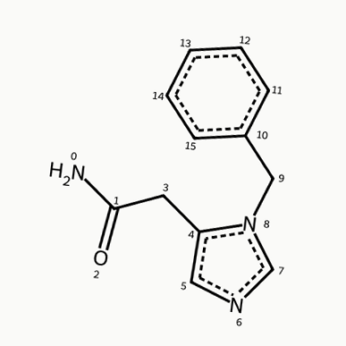 NC(=O)Cc1cncn1Cc1ccccc1